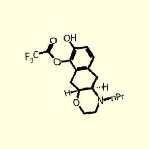 CCCN1CCO[C@@H]2Cc3c(ccc(O)c3OC(=O)C(F)(F)F)C[C@H]21